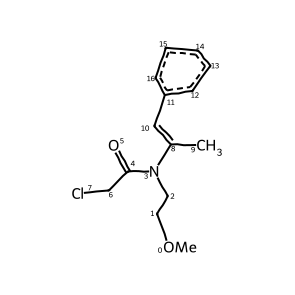 COCCN(C(=O)CCl)C(C)=Cc1ccccc1